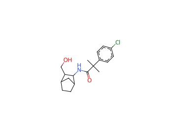 CC(C)(C(=O)NC1C2CCC(C2)C1CO)c1ccc(Cl)cc1